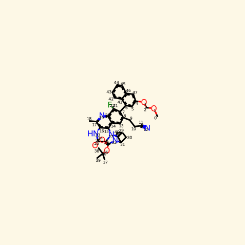 COCOc1cc(-c2c(CCC#N)cc3c4c(c(C)nc3c2F)NC(=O)CN4C2C3CC2N(C(=O)OC(C)(C)C)C3)c2ccccc2c1